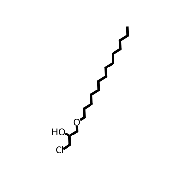 CCCCCCCCCCCCCCOCC(O)CCl